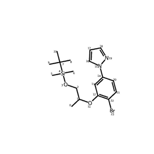 CC(CO[Si](C)(C)C(C)(C)C)Oc1cc(-n2cccn2)ccc1Br